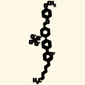 CCCCCCc1ccc(-c2ccc([C@H]3CC[C@H](COc4ccc(OC)cc4)CC3)cc2)[o+]c1.[O-][Cl+3]([O-])([O-])[O-]